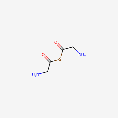 NCC(=O)SC(=O)CN